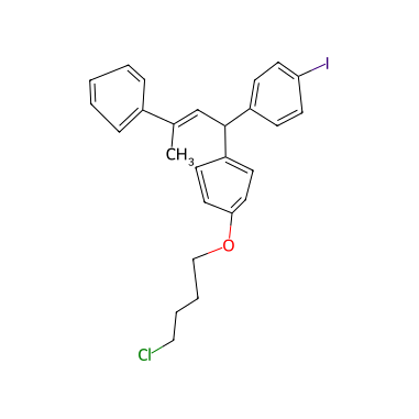 CC(=CC(c1ccc(I)cc1)c1ccc(OCCCCCl)cc1)c1ccccc1